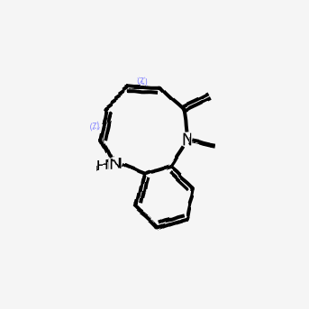 C=C1/C=C\C=C/Nc2ccccc2N1C